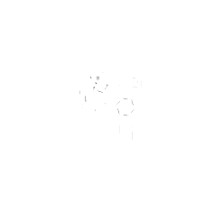 COC(=O)c1noc(C2CC2)c1C(=O)c1cc(CBr)cc(C(F)(F)F)c1